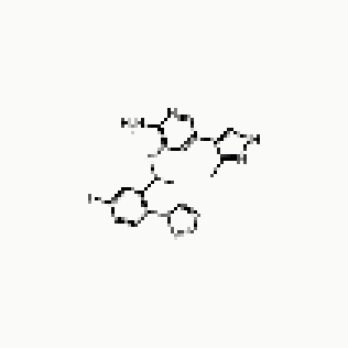 Cc1n[nH]cc1-c1cnc(N)c(OC(C)c2cc(F)ccc2-n2cccn2)c1